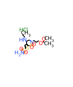 CCCNC1CN(CCCOC(C)OC)S(=O)(=O)c2sc(S(N)(=O)=O)cc21.Cl